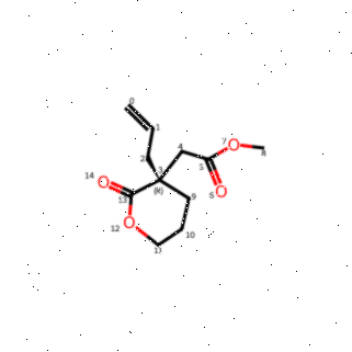 C=CC[C@@]1(CC(=O)OC)CCCOC1=O